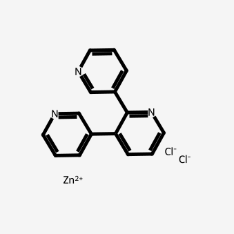 [Cl-].[Cl-].[Zn+2].c1cncc(-c2cccnc2-c2cccnc2)c1